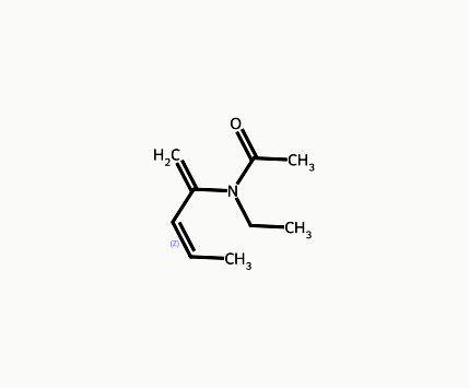 C=C(/C=C\C)N(CC)C(C)=O